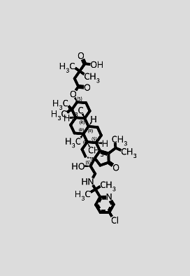 CC(C)C1=C2[C@H]3CC[C@@H]4[C@@]5(C)CC[C@H](OC(=O)CC(C)(C)C(=O)O)C(C)(C)[C@H]5CC[C@@]4(C)[C@]3(C)CC[C@@]2([C@H](O)CNC(C)(C)c2ccc(Cl)cn2)CC1=O